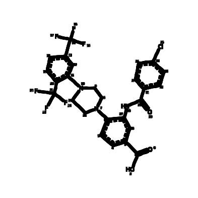 O=C(O)c1ccc(N2CCN(c3cc(C(F)(F)F)ccc3C(F)(F)F)CC2)c(NC(=O)c2ccc(Cl)cc2)c1